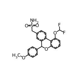 COc1ccc(C2Oc3cccc(OC(F)F)c3-c3ccc(CS(N)(=O)=O)cc32)cc1